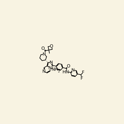 CC1(C(=O)N2CCC[C@@H](C3=C4C=NC=C[N+]4(N)C(c4ccc(C(=O)Nc5ccc(C(F)F)cn5)cc4)=N3)C2)COC1